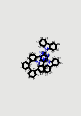 c1ccc2c(c1)c1ccccc1c1cccc3c4ccccc4n(c4c(-c5nc(-n6c7ccccc7c7ccccc76)nc(-n6c7ccccc7c7ccccc76)n5)cccc24)c13